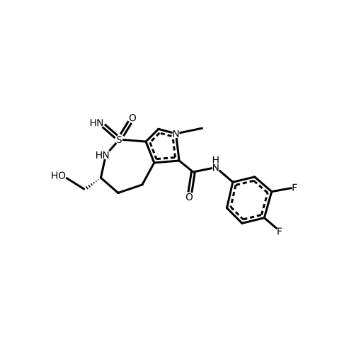 Cn1cc2c(c1C(=O)Nc1ccc(F)c(F)c1)CC[C@H](CO)NS2(=N)=O